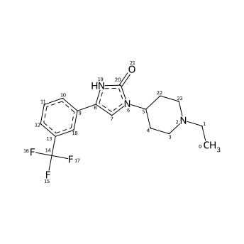 CCN1CCC(n2cc(-c3cccc(C(F)(F)F)c3)[nH]c2=O)CC1